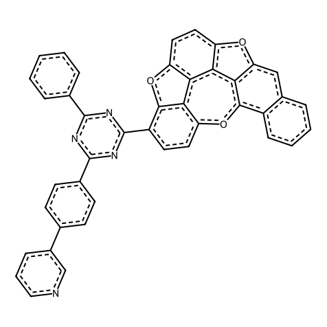 c1ccc(-c2nc(-c3ccc(-c4cccnc4)cc3)nc(-c3ccc4oc5c6ccccc6cc6oc7ccc8oc3c4c8c7c65)n2)cc1